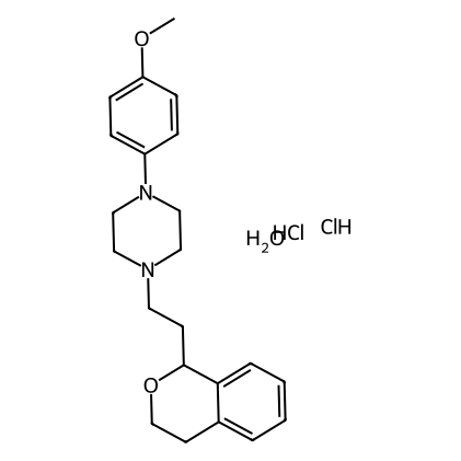 COc1ccc(N2CCN(CCC3OCCc4ccccc43)CC2)cc1.Cl.Cl.O